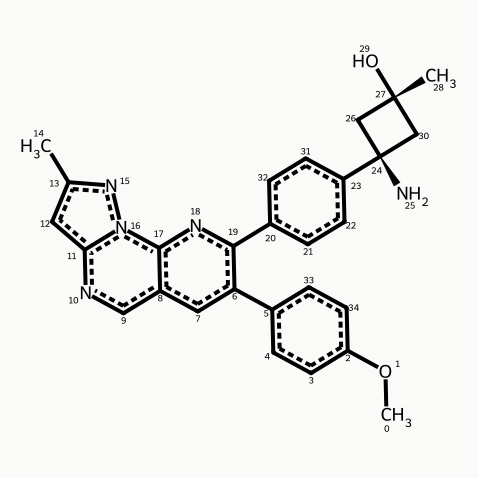 COc1ccc(-c2cc3cnc4cc(C)nn4c3nc2-c2ccc([C@]3(N)C[C@](C)(O)C3)cc2)cc1